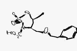 C[C@@H]1OS(=O)(=O)N(C(=O)O)[C@@H]1COCc1ccccc1